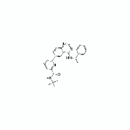 C[C@@H](Nc1ncnc2ccc(-c3cncc(C(=O)NC(C)(C)C)n3)cc12)c1ccccc1